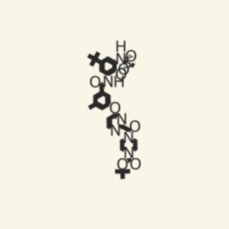 COc1c(NC(=O)c2cc(C)cc(Oc3ccnc(C(=O)N4CCN(C(=O)OC(C)(C)C)CC4)n3)c2)cc(C(C)(C)C)cc1NS(C)(=O)=O